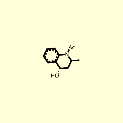 CC(=O)N1c2ccccc2[C@@H](O)C[C@@H]1C